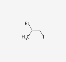 CCC(C)CI